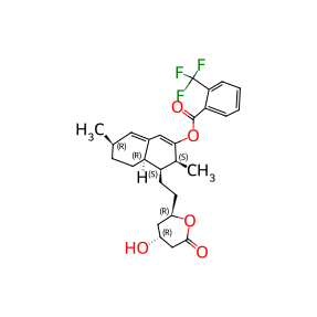 C[C@@H]1C(OC(=O)c2ccccc2C(F)(F)F)=CC2=C[C@H](C)CC[C@@H]2[C@@H]1CC[C@@H]1C[C@@H](O)CC(=O)O1